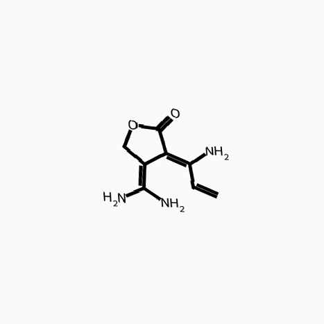 C=C/C(N)=C1/C(=O)OCC1=C(N)N